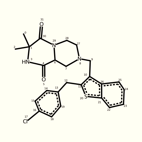 CC1(C)NC(=O)C2CN(Cc3c(Cc4ccc(Cl)cc4)sc4ccccc34)CCN2C1=O